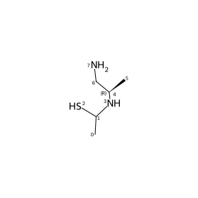 CC(S)N[C@H](C)CN